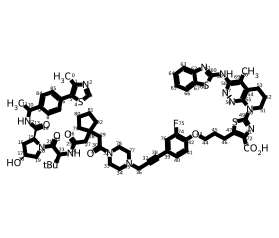 Cc1ncsc1-c1ccc(C(C)NC(=O)[C@@H]2C[C@@H](O)CN2C(=O)C(NC(=O)CC2(CC(=O)N3CCN(CC#Cc4ccc(OCCCc5sc(N6CCCc7c6nnc(Nc6nc8ccccc8s6)c7C)nc5C(=O)O)c(F)c4)CC3)CCCC2)C(C)(C)C)cc1